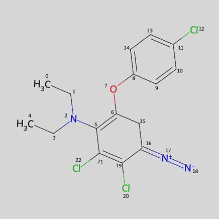 CCN(CC)C1=C(Oc2ccc(Cl)cc2)CC(=[N+]=[N-])C(Cl)=C1Cl